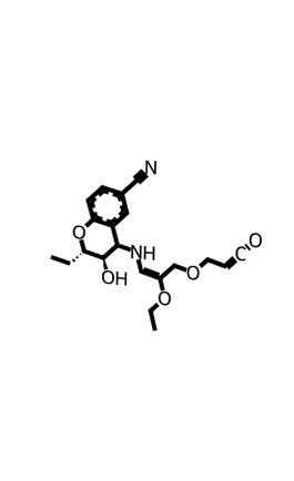 CCO/C(=C/NC1c2cc(C#N)ccc2O[C@@H](CC)[C@@H]1O)COCC=C=O